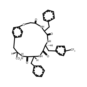 O=C1COc2ccc(cc2)C[C@@H](C(=O)O)NC(=O)[C@@H](Cc2ccccc2)NC(=O)[C@H](Cc2ccc(C(F)(F)F)cc2)NC(=O)C(Cc2ccccc2)N1